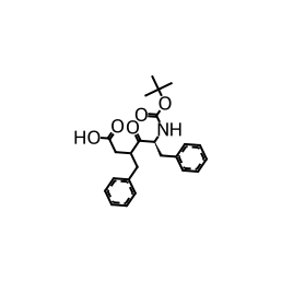 CC(C)(C)OC(=O)N[C@@H](Cc1ccccc1)C(=O)C(CC(=O)O)Cc1ccccc1